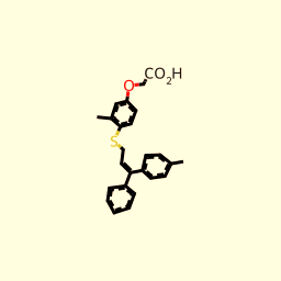 Cc1ccc(/C(=C\CSc2ccc(OCC(=O)O)cc2C)c2ccccc2)cc1